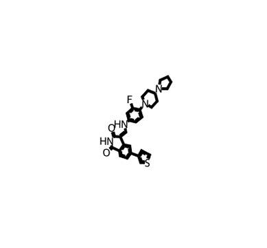 O=C1NC(=O)c2ccc(-c3ccsc3)cc2C1=CNc1ccc(N2CCC(N3CCCC3)CC2)c(F)c1